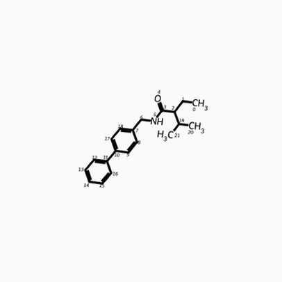 CCC(C(=O)NCc1ccc(-c2ccccc2)cc1)C(C)C